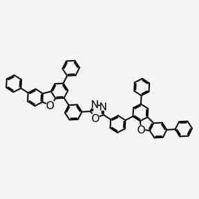 c1ccc(-c2ccc3oc4c(-c5cccc(-c6nnc(-c7cccc(-c8cc(-c9ccccc9)cc9c8oc8ccc(-c%10ccccc%10)cc89)c7)o6)c5)cc(-c5ccccc5)cc4c3c2)cc1